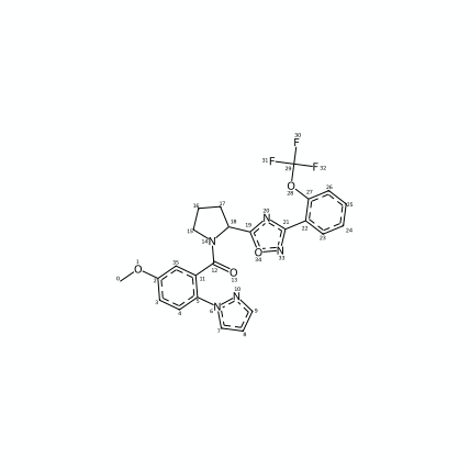 COc1ccc(-n2cccn2)c(C(=O)N2CCCC2c2nc(-c3ccccc3OC(F)(F)F)no2)c1